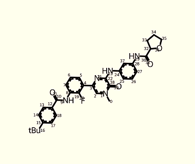 Cn1cc(-c2cccc(NC(=O)c3ccc(C(C)(C)C)cc3)c2F)nc(Nc2cccc(NC(=O)C3CCCO3)c2)c1=O